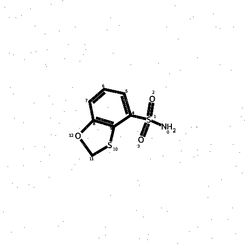 NS(=O)(=O)c1cccc2c1SCO2